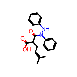 CC(C)=CCC(C(=O)O)C(=O)N(Nc1ccccc1)c1ccccc1